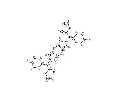 CC1CCC(N(C(=O)CN)c2nc3cc4nc(N(C(=O)CN)C5CCC(C)CC5)sc4cc3s2)CC1